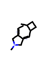 C/C=C1/CN(C)C/C1=C/C1CCC1C